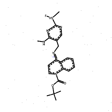 CNc1nc([SH](C)F)ncc1C/N=c1/ccn(C(=O)OC(C)(C)C)c2ccccc12